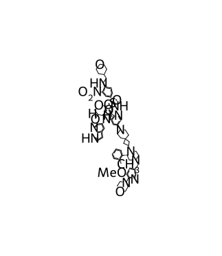 COc1cc(CN2CCN(C3CC4(CCN(c5cnc(C(=O)NS(=O)(=O)c6ccc(NCC7CCOCC7)c([N+](=O)[O-])c6)c(N6c7cc8cc[nH]c8nc7O[C@H]7COCC[C@@H]76)c5)CC4)C3)[C@H](c3ccccc3C)C2)cnc1N1CCOCC1